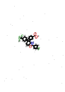 COC(=O)c1ccc(C2(c3ccc4oc(-c5ccc(F)cc5)nc4c3)CCC(C(F)(F)F)CC2)cc1